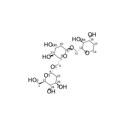 OC[C@H]1O[C@H](OC[C@H]2O[C@H](OC[C@H]3OCC[C@@H](O)[C@@H]3O)C[C@@H](O)[C@@H]2O)C[C@@H](O)[C@@H]1O